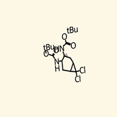 CC(C)(C)OC(=O)NC1CC2C(C[C@@H]1NC(=O)OC(C)(C)C)C2(Cl)Cl